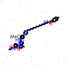 C=CC(=O)Nc1cccc(-n2c(=O)cc(C)c3cnc(Nc4ccc(N5CCN(CCCCCCCCCCCCCCNC(=O)CC6(C)CC7CC(C)CC(C7)C6)CC5)cc4OC)nc32)c1